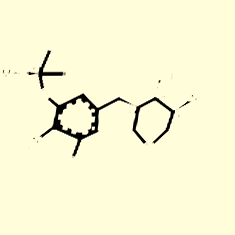 CO[C@](C)(Oc1cc(C[C@@H]2CSC[C@H](N)[C@H]2O)cc(F)c1[N+](=O)[O-])C(F)(F)F.Cl